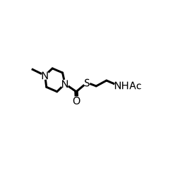 CC(=O)NCCSC(=O)N1CCN(C)CC1